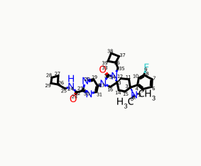 CN(C)[C@]1(c2cccc(F)c2)CC[C@@]2(CC1)CN(c1cnc(C(=O)NCC3CCC3)nc1)C(=O)N2CC1CCC1